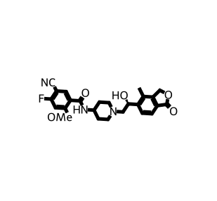 COc1cc(F)c(C#N)cc1C(=O)NC1CCN(C[C@@H](O)c2ccc3c(c2C)COC3=O)CC1